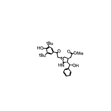 COC(=O)C[C@@H]1CN(CC(=O)c2cc(C(C)(C)C)c(O)c(C(C)(C)C)c2)C(=N)[C@@H]1[C@@H](O)c1ccccc1